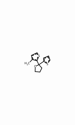 Cc1ccsc1C1(c2cccs2)CCCO1